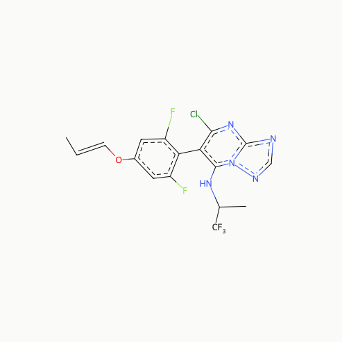 CC=COc1cc(F)c(-c2c(Cl)nc3ncnn3c2NC(C)C(F)(F)F)c(F)c1